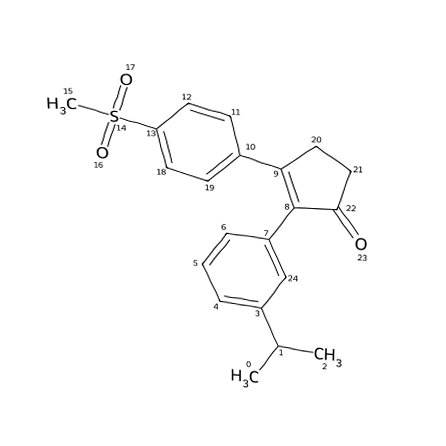 CC(C)c1cccc(C2=C(c3ccc(S(C)(=O)=O)cc3)CCC2=O)c1